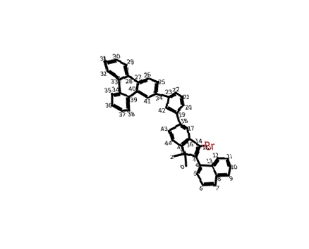 CC1(C)C(c2cccc3ccccc23)=C(Br)c2cc(-c3cccc(-c4ccc5c6ccccc6c6ccccc6c5c4)c3)ccc21